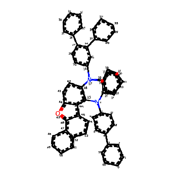 c1ccc(-c2ccc(N(c3ccccc3)c3c(N(c4ccccc4)c4ccc(-c5ccccc5)c(-c5ccccc5)c4)ccc4oc5c6ccccc6ccc5c34)cc2)cc1